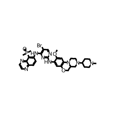 COc1cc2c(cc1Nc1ncc(Br)c(Nc3ccc4nccnc4c3P(C)(C)=O)n1)OCC1CN(C3CCN(C)CC3)CCN21